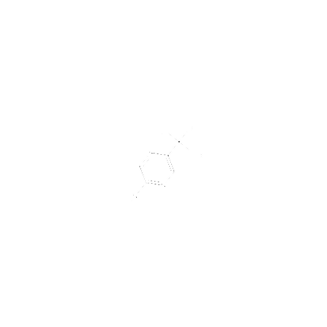 CC(C)(O)c1cnc(N)cn1